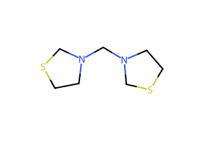 C1CN(CN2CCSC2)CS1